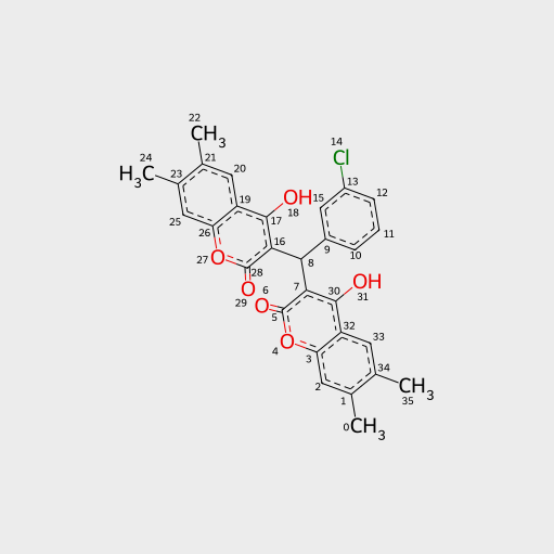 Cc1cc2oc(=O)c(C(c3cccc(Cl)c3)c3c(O)c4cc(C)c(C)cc4oc3=O)c(O)c2cc1C